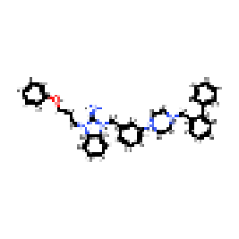 N=c1n(CCCOc2ccccc2)c2ccccc2n1Cc1cccc(N2CCN(Cc3ccccc3-c3ccccc3)CC2)c1